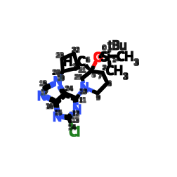 CC(C)(C)[Si](C)(C)O[C@]1(C)CCCN(c2nc(Cl)nc3ncn(C4CCC4)c23)C1